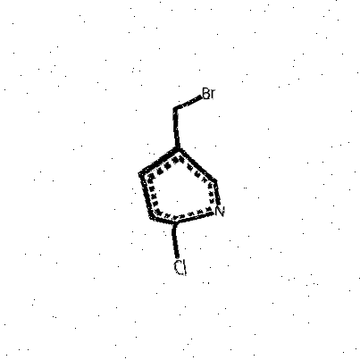 Clc1ccc(CBr)cn1